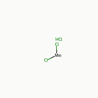 Cl.[Cl][Mn][Cl]